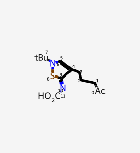 CC(=O)CCCc1cn(C(C)(C)C)sc1=NC(=O)O